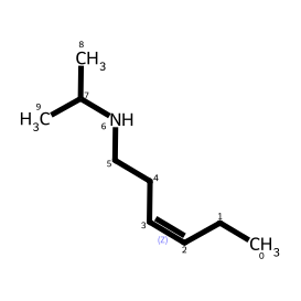 CC/C=C\CCNC(C)C